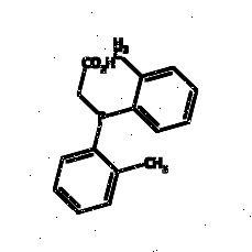 Cc1ccccc1P(CC(=O)O)c1ccccc1C